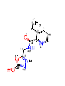 CCc1cccnc1C(=O)NCc1nnc(O)o1